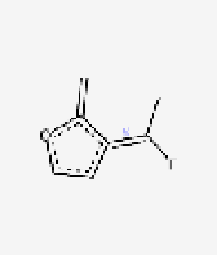 C=c1occ/c1=C(/C)F